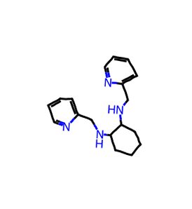 c1ccc(CNC2CCCCC2NCc2ccccn2)nc1